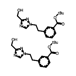 CC(C)(C)OC(=O)c1cccc(CCn2cnc(CO)n2)c1.CC(C)(C)OC(=O)c1cccc(CCn2cnc(CO)n2)c1